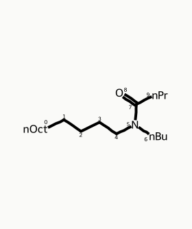 CCCCCCCCCCCCN(CCCC)C(=O)CCC